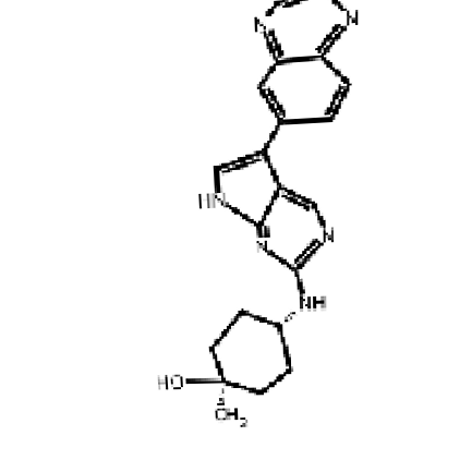 C[C@]1(O)CC[C@H](Nc2ncc3c(-c4ccc5nccnc5c4)c[nH]c3n2)CC1